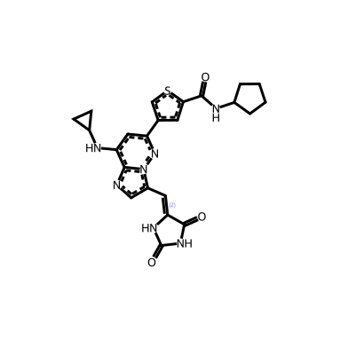 O=C1NC(=O)/C(=C/c2cnc3c(NC4CC4)cc(-c4csc(C(=O)NC5CCCC5)c4)nn23)N1